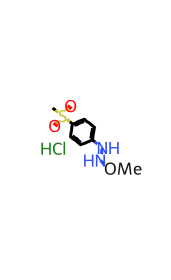 CONNc1ccc(S(C)(=O)=O)cc1.Cl